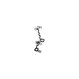 O=C(O)CCC/C=C/CC1C2CCC(O2)C1NS(=O)(=O)/C=C/c1cccc(Br)c1